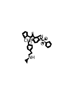 Cc1ccccc1-c1c(F)c2c3cnn(S(=O)(=O)c4ccccc4)c3ccc2n1Cc1ccc(CCNC2CC2)cc1